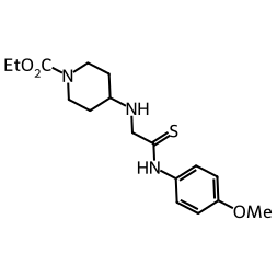 CCOC(=O)N1CCC(NCC(=S)Nc2ccc(OC)cc2)CC1